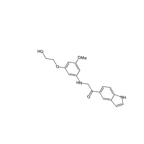 COc1cc(NCC(=O)c2ccc3[nH]ccc3c2)cc(OCCO)c1